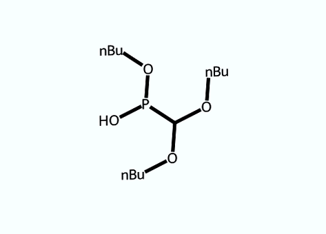 CCCCOC(OCCCC)P(O)OCCCC